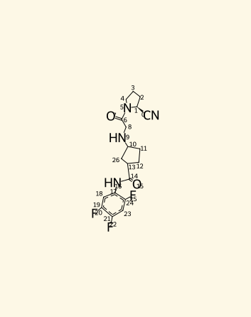 N#C[C@@H]1CCCN1C(=O)CNC1CCC(C(=O)Nc2cc(F)c(F)cc2F)C1